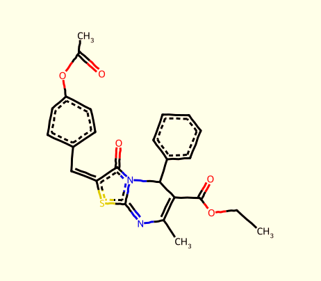 CCOC(=O)C1=C(C)N=c2s/c(=C/c3ccc(OC(C)=O)cc3)c(=O)n2C1c1ccccc1